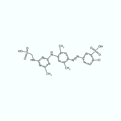 Cc1nc(NCS(=O)(=O)O)nc(Nc2cc(C)c(/N=N/c3ccc(Cl)c(S(=O)(=O)O)c3)cc2C)n1